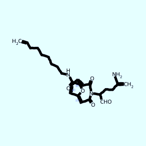 C=CCCCCCCCNC(=O)COC1=C\C(=O)N(C(C=O)CCC(=C)N)C(=O)/C=C/C=C\1